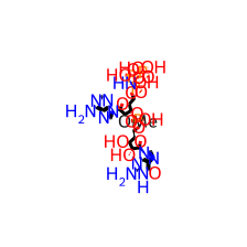 CO[C@@H]1[C@H](OP(=O)(O)OC[C@H]2O[C@@H](n3cnc4c(=O)[nH]c(N)nc43)[C@H](O)[C@@H]2O)C(COP(=O)(O)NP(=O)(O)OP(=O)(O)O)O[C@H]1n1cnc2c(N)ncnc21